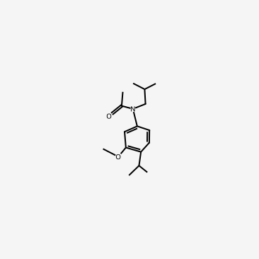 COc1cc(N(CC(C)C)C(C)=O)ccc1C(C)C